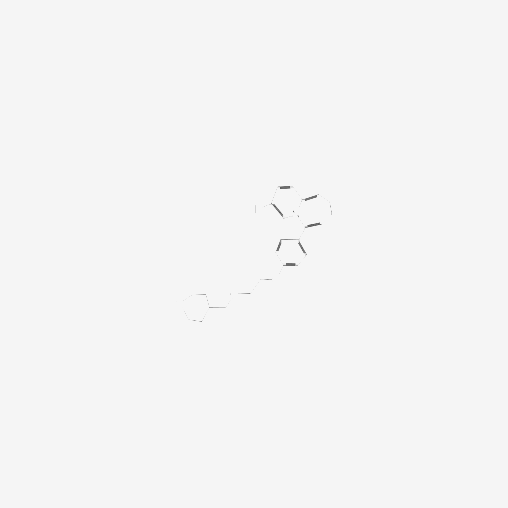 FC1=CN2C(=CCCC=C2c2ccc(OCCOCC3CCOCC3)cc2)C=C1